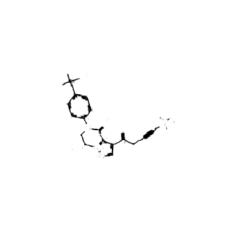 C[C@H]1CN(c2ccc(C(F)(F)F)cc2)C(=O)c2c(C(=O)CC#C[Si](C)(C)C)cnn21